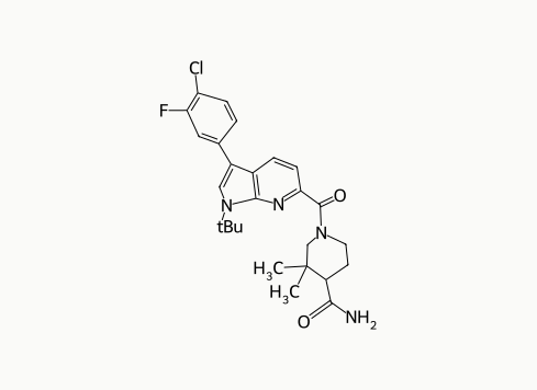 CC1(C)CN(C(=O)c2ccc3c(-c4ccc(Cl)c(F)c4)cn(C(C)(C)C)c3n2)CCC1C(N)=O